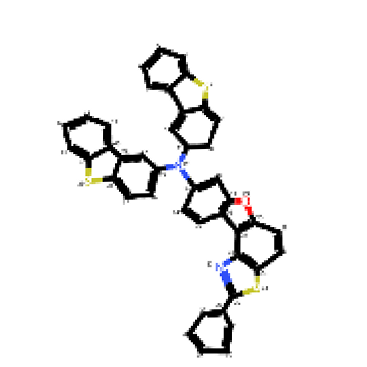 C1=c2sc3ccccc3c2=CC(N(c2ccc3c(c2)oc2ccc4sc(-c5ccccc5)nc4c23)c2ccc3sc4ccccc4c3c2)C1